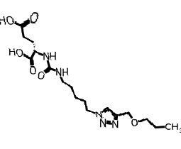 CCCOCc1cn(CCCCCNC(=O)N[C@@H](CCC(=O)O)C(=O)O)nn1